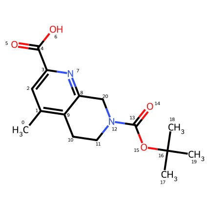 Cc1cc(C(=O)O)nc2c1CCN(C(=O)OC(C)(C)C)C2